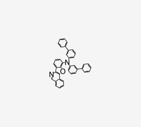 c1ccc(-c2cccc(N(c3cccc(-c4ccccc4)c3)c3cccc4c3oc3c5ccccc5cnc43)c2)cc1